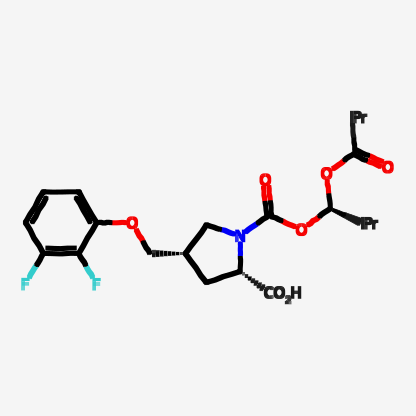 CC(C)C(=O)O[C@H](OC(=O)N1C[C@@H](COc2cccc(F)c2F)C[C@H]1C(=O)O)C(C)C